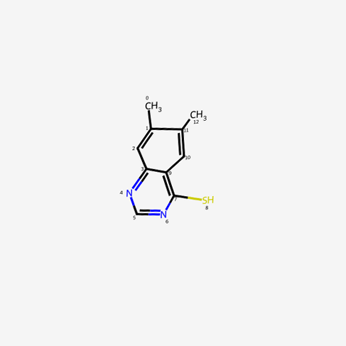 Cc1cc2ncnc(S)c2cc1C